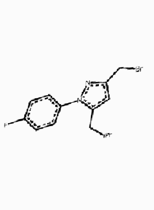 CC(C)Cc1cc(CBr)nn1-c1ccc(F)cc1